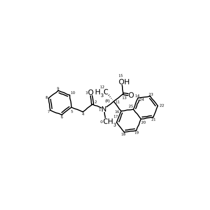 CN(C(=O)Cc1ccccc1)[C@@](C)(C(=O)O)c1cccc2ccccc12